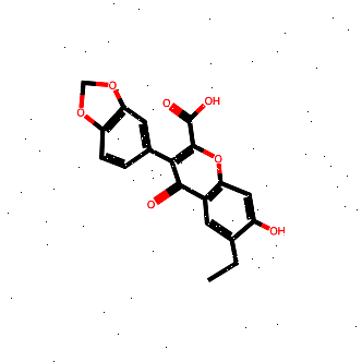 CCc1cc2c(=O)c(-c3ccc4c(c3)OCO4)c(C(=O)O)oc2cc1O